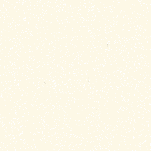 NCc1ccc(C(=O)NC2CC2)cc1NC(=O)c1ccc2ccn(C(=O)O)c2c1